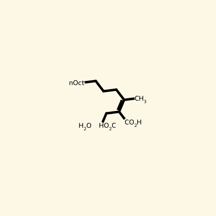 CCCCCCCCCCCC(C)=C(CC(=O)O)C(=O)O.O